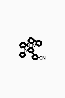 N#Cc1cccc(-c2cc3c4c(c2)-n2c5ccccc5c5cccc(c52)B4c2ccccc2N3c2ccccc2)c1